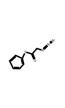 [N-]=[N+]=NCC(=O)Sc1ccccc1